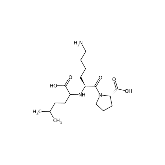 CC(C)CCC(N[C@@H](CCCCN)C(=O)N1CCC[C@H]1C(=O)O)C(=O)O